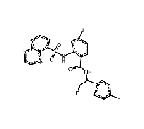 O=C(NC(CF)c1ccc(F)cc1)c1ccc(I)cc1NS(=O)(=O)c1cccc2nccnc12